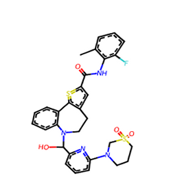 Cc1cccc(F)c1NC(=O)c1cc2c(s1)-c1ccccc1N(C(O)c1cccc(N3CCCS(=O)(=O)C3)n1)CC2